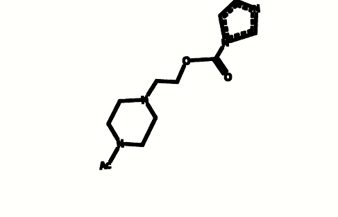 CC(=O)N1CCN(CCOC(=O)n2ccnc2)CC1